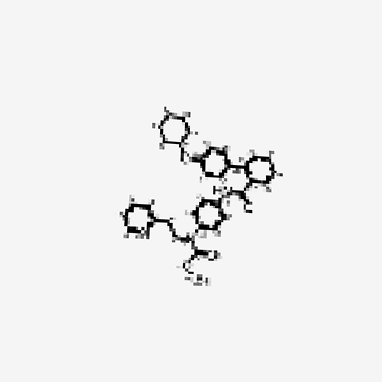 CC(C)(C)OC(=O)N(CCc1ccccn1)c1ccc(NC(=O)c2ccccc2-c2ccc(OC3CCCCC3)cc2)cc1